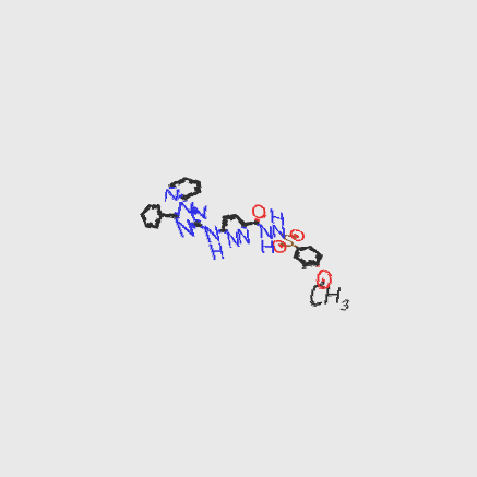 COc1ccc(S(=O)(=O)NNC(=O)c2ccc(Nc3nc(-c4ccccc4)n(-c4ccccn4)n3)nn2)cc1